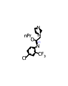 CCCO/C(Cn1ccnc1)=N\c1ccc(Cl)cc1C(F)(F)F